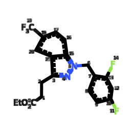 CCOC(=O)CCc1nn(Cc2ccc(F)cc2F)c2ccc(C(F)(F)F)cc12